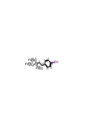 CCCC[Si](CCCC)(CCCC)CCc1ccc(I)cc1